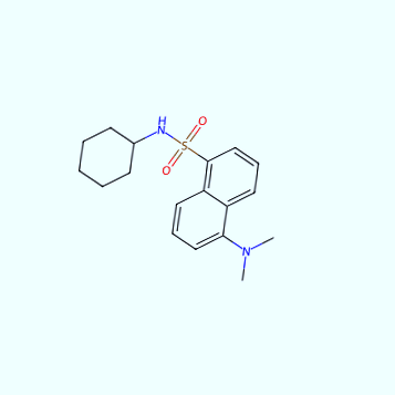 CN(C)c1cccc2c(S(=O)(=O)NC3CCCCC3)cccc12